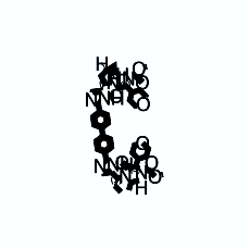 CC[C@@H](c1cnc(-c2ccc(-c3ccc(-c4ncc([C@@H]5C[C@H]6C[C@H]6N5C(=O)[C@@H](NC(=O)OC)C5CCOCC5)[nH]4)cc3)cc2)[nH]1)N(C(=O)[C@@H](NC(=O)OC)C1CCOCC1)C(C)C